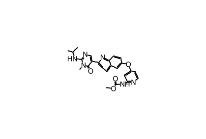 COC(=O)Nc1cc(Oc2ccc3nc(-c4cnc(NC(C)C)n(C)c4=O)ccc3c2)ccn1